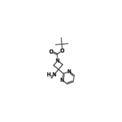 CC(C)(C)OC(=O)N1CC(N)(c2ncccn2)C1